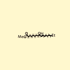 CCC=CCC=CC=CC(O)CCCCCCCC(=O)OC